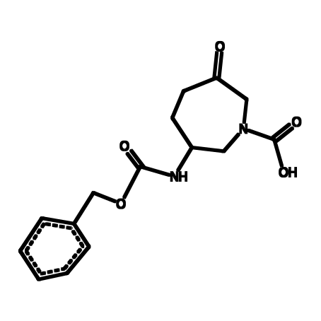 O=C1CCC(NC(=O)OCc2ccccc2)CN(C(=O)O)C1